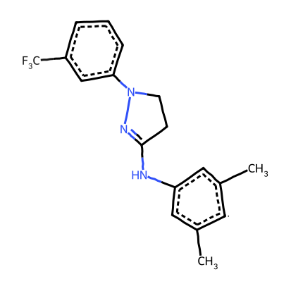 Cc1[c]c(C)cc(NC2=NN(c3cccc(C(F)(F)F)c3)CC2)c1